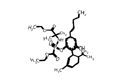 C=C(C)C1CCC(C)=CC1c1c(O)cc(CCCCC)cc1OP(=O)(NC(C)(C)C(=O)OCC)C(=O)OCC